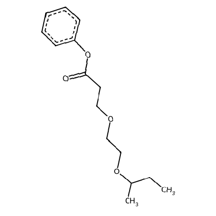 CCC(C)OCCOCCC(=O)Oc1ccccc1